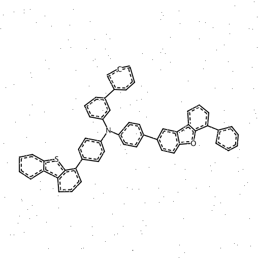 c1ccc(-c2cccc(N(c3ccc(-c4ccc5oc6c(-c7ccccc7)cccc6c5c4)cc3)c3ccc(-c4cccc5c4sc4ccccc45)cc3)c2)cc1